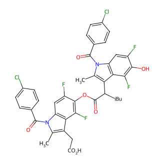 CCC(C)C(C(=O)Oc1c(F)cc2c(c1F)c(CC(=O)O)c(C)n2C(=O)c1ccc(Cl)cc1)c1c(C)n(C(=O)c2ccc(Cl)cc2)c2cc(F)c(O)c(F)c12